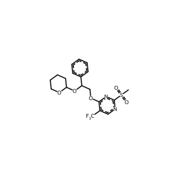 CS(=O)(=O)c1ncc(C(F)(F)F)c(OCC(OC2CCCCO2)c2ccccc2)n1